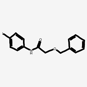 O=C(COCc1ccccc1)Nc1ccc(I)cc1